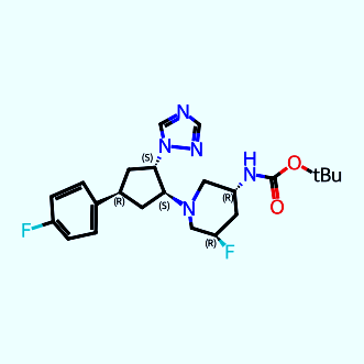 CC(C)(C)OC(=O)N[C@@H]1C[C@@H](F)CN([C@H]2C[C@@H](c3ccc(F)cc3)C[C@@H]2n2cncn2)C1